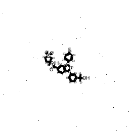 CC1(NC(=O)c2ccc3c(-c4cccc(C(C)(C)O)c4)nn(-c4ccc(F)cc4)c3c2)CCS(=O)(=O)C1